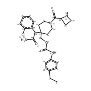 CCc1ccc(NC(=O)OCC2(C(C(N)=O)c3ccccc3Cl)CCN(C(=O)C3CCN3)CC2)cc1